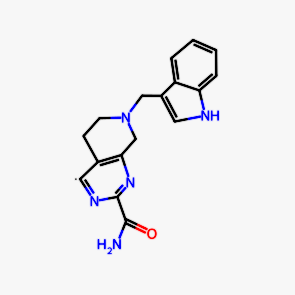 NC(=O)c1n[c]c2c(n1)CN(Cc1c[nH]c3ccccc13)CC2